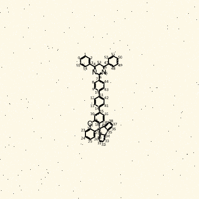 c1ccc(C2=NC(c3ccc(-c4ccc(-c5ccc6c(c5)Oc5ccccc5C65c6ccccc6-c6ccccc65)cc4)cc3)=NC(c3ccccc3)C2)cc1